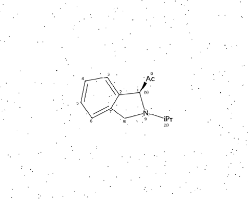 CC(=O)[C@@H]1c2ccccc2CN1C(C)C